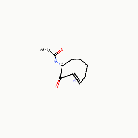 COC(=O)N[C@@H]1CCCC/C=C/C1=O